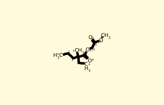 CCCC(C)(CC)C(=O)OCC(=O)OC